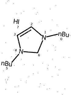 CCCCN1C=CN(CCCC)C1.I